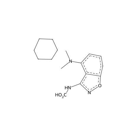 C1CCCCC1.CN(C)c1cccc2onc(NC(=O)O)c12